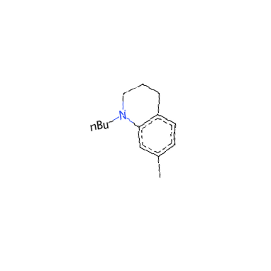 CCCCN1CCCc2ccc(C)cc21